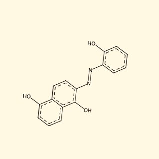 Oc1ccccc1/N=N/c1ccc2c(O)cccc2c1O